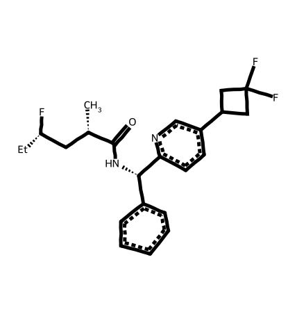 CC[C@H](F)C[C@H](C)C(=O)N[C@@H](c1ccccc1)c1ccc(C2CC(F)(F)C2)cn1